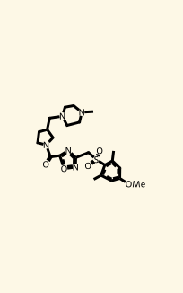 COc1cc(C)c(S(=O)(=O)Cc2noc(C(=O)N3CCC(CN4CCN(C)CC4)C3)n2)c(C)c1